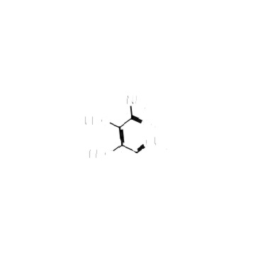 C=CC(C)=C(C)C(N)=O